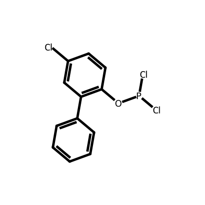 Clc1ccc(OP(Cl)Cl)c(-c2ccccc2)c1